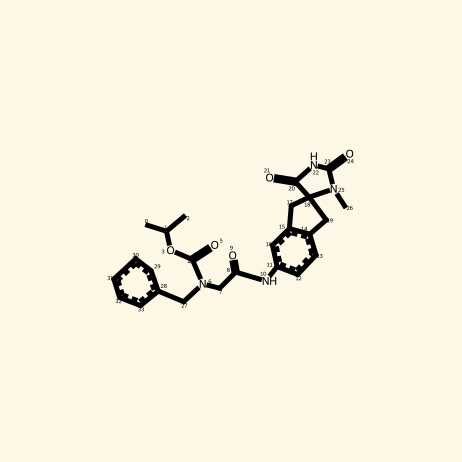 CC(C)OC(=O)N(CC(=O)Nc1ccc2c(c1)CC1(C2)C(=O)NC(=O)N1C)Cc1ccccc1